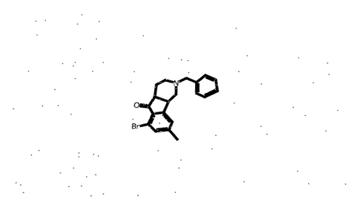 Cc1cc(Br)c2c(c1)C1CN(Cc3ccccc3)CCC1C2=O